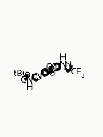 CC(C)(C)OC(=O)NC1CCN(c2ccc(S(=O)(=O)N3CCC(Nc4ccc(C(F)(F)F)cn4)CC3)cc2)CC1